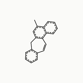 Cc1cc2c(c3ccccc13)C=Cc1ccccc1C2